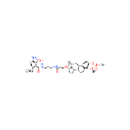 COc1ccc(N)c(O)c1C(=O)NCCCNC(=O)CCOC1CCC2C3CCc4cc(OP(=O)(OC(C)C)OC(C)C)ccc4C3CCC12C